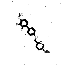 CCCCC1CCC(COc2ccc(-c3ccc(OCC)c(F)c3F)cc2)OC1